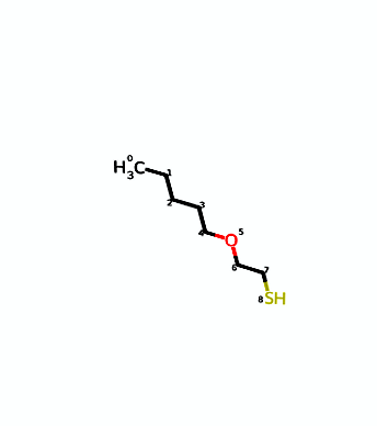 CCCCCOCCS